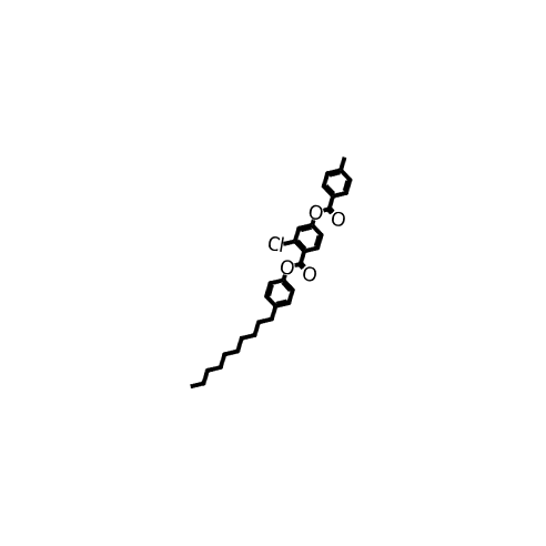 CCCCCCCCCCc1ccc(OC(=O)c2ccc(OC(=O)c3ccc(C)cc3)cc2Cl)cc1